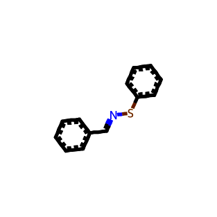 C(=NSc1ccccc1)c1ccccc1